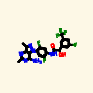 Cc1nc(N)c2c(n1)c(C)nn2-c1cc(F)c(NC(=O)C(O)c2cc(F)cc(C(F)(F)F)c2)cc1F